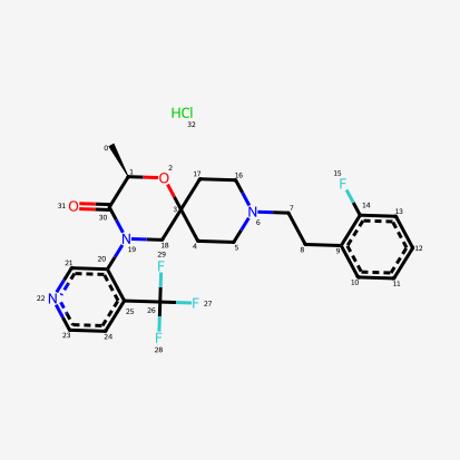 C[C@H]1OC2(CCN(CCc3ccccc3F)CC2)CN(c2cnccc2C(F)(F)F)C1=O.Cl